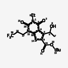 CCn1c(=O)c2c(C(C)O)c(C(=O)OC(C)(C)C)sc2n(CCC(F)(F)F)c1=O